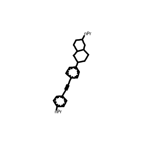 CCCc1ccc(C#Cc2ccc(C3CCC4CC(CCC)CCC4C3)cc2)cc1